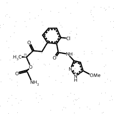 COc1cc(NC(=O)c2c(Cl)cccc2CC(=O)[C@H](C)OC(N)=O)n[nH]1